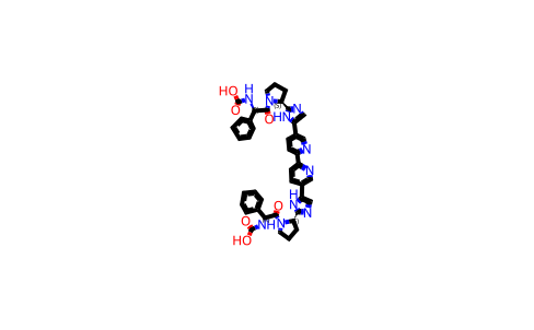 O=C(O)N[C@@H](C(=O)N1CCC[C@H]1c1ncc(-c2ccc(-c3ccc(-c4cnc([C@@H]5CCCN5C(=O)[C@H](NC(=O)O)c5ccccc5)[nH]4)cn3)nc2)[nH]1)c1ccccc1